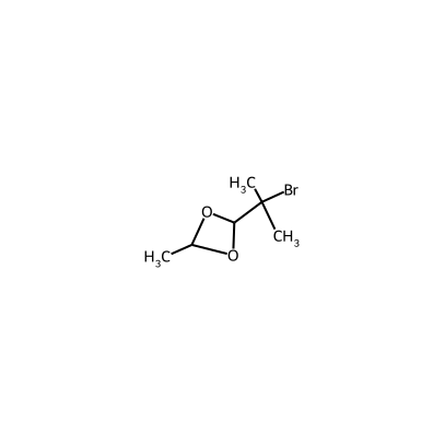 CC1OC(C(C)(C)Br)O1